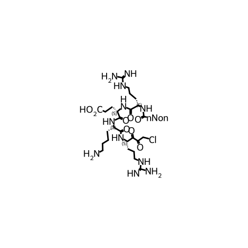 CCCCCCCCCC(=O)N[C@@H](CCCNC(=N)N)C(=O)N[C@@H](CCC(=O)O)C(=O)N[C@@H](CCCCN)C(=O)N[C@@H](CCCNC(=N)N)C(=O)C(=O)CCl